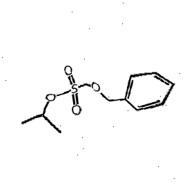 CC(C)OS(=O)(=O)OCc1ccccc1